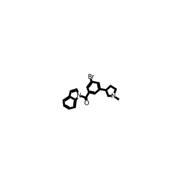 CN1CCC(c2cc(Br)cc(C(=O)n3ccc4ccccc43)c2)C1